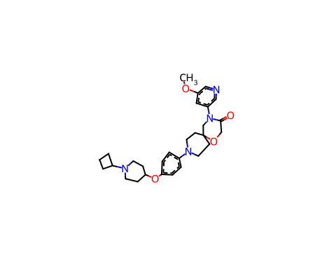 COc1cncc(N2CC3(CCN(c4ccc(OC5CCN(C6CCC6)CC5)cc4)CC3)OCC2=O)c1